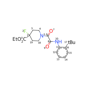 CCOC(=O)C1(F)CCN(C(=O)C(=O)Nc2ccccc2C(C)(C)C)CC1